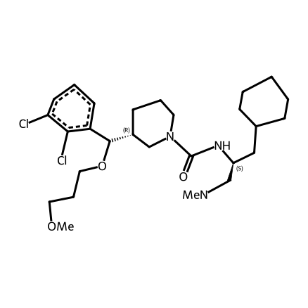 CNC[C@H](CC1CCCCC1)NC(=O)N1CCC[C@@H](C(OCCCOC)c2cccc(Cl)c2Cl)C1